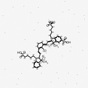 CC1(C)C(/C=C/C2=C(Cl)C(=C/C=C3/N(CCCCS(=O)(=O)O)c4ccc(S(=O)(=O)O)cc4C3(C)C)/CCC2)=[N+](CCCCS(=O)(=O)O)c2ccccc21